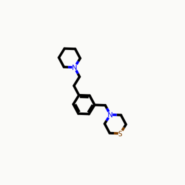 c1cc(CCN2CCCCC2)cc(CN2CCSCC2)c1